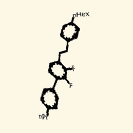 CCCCCCc1ccc(CCc2ccc(-c3ccc(CCC)cc3)c(F)c2F)cc1